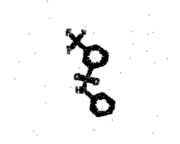 O=S(=O)(Nc1ccccc1)c1cccc(C(F)(F)F)c1